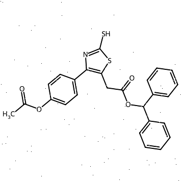 CC(=O)Oc1ccc(-c2nc(S)sc2CC(=O)OC(c2ccccc2)c2ccccc2)cc1